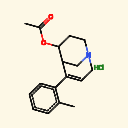 CC(=O)OC1CCN2CC=C(c3ccccc3C)C1C2.Cl